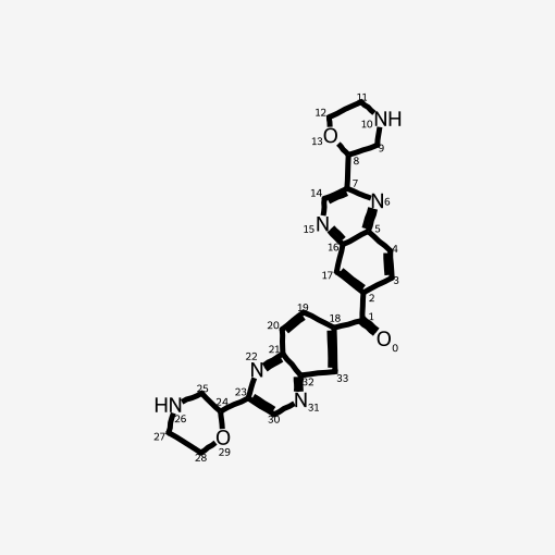 O=C(c1ccc2nc(C3CNCCO3)cnc2c1)c1ccc2nc(C3CNCCO3)cnc2c1